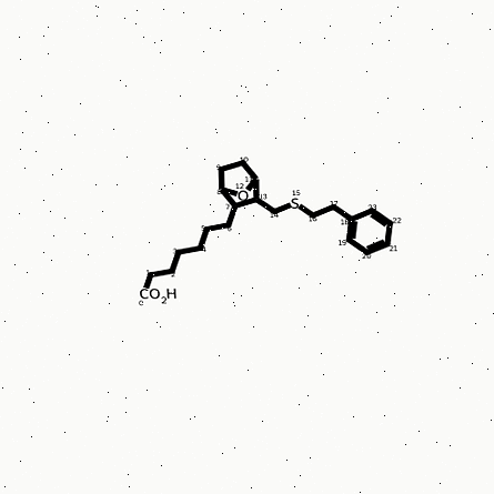 O=C(O)CCCCCCC1C2CCC(O2)C1CSCCc1ccccc1